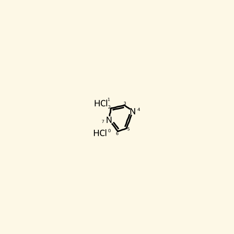 Cl.Cl.c1cnccn1